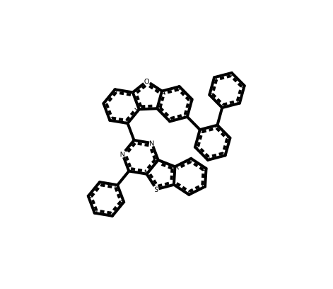 c1ccc(-c2ccccc2-c2ccc3oc4cccc(-c5nc(-c6ccccc6)c6sc7ccccc7c6n5)c4c3c2)cc1